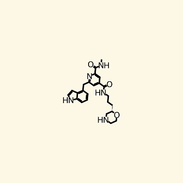 CNC(=O)c1cc(C(=O)NCCC[C@H]2CNCCO2)cc(Cc2cccc3[nH]ccc23)n1